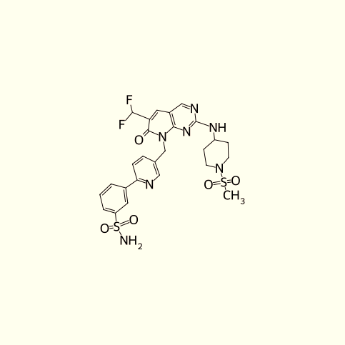 CS(=O)(=O)N1CCC(Nc2ncc3cc(C(F)F)c(=O)n(Cc4ccc(-c5cccc(S(N)(=O)=O)c5)nc4)c3n2)CC1